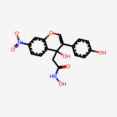 O=C(CC1(O)C(c2ccc(O)cc2)=COc2cc([N+](=O)[O-])ccc21)NO